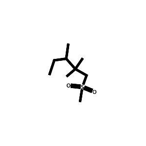 CCC(C)C(C)(C)CS(C)(=O)=O